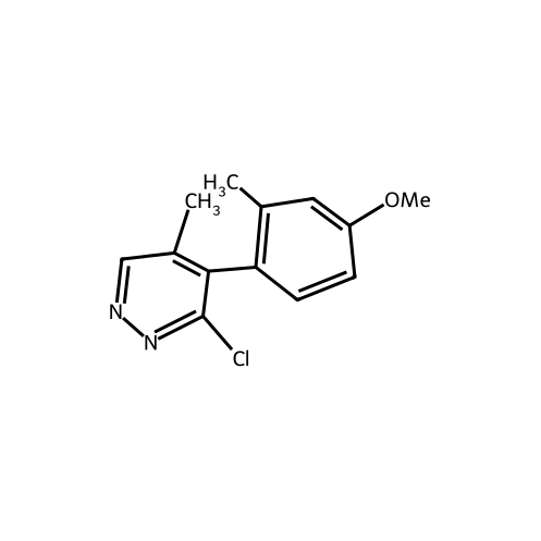 COc1ccc(-c2c(C)cnnc2Cl)c(C)c1